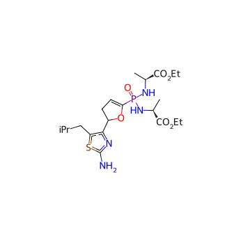 CCOC(=O)[C@H](C)NP(=O)(N[C@@H](C)C(=O)OCC)C1=CCC(c2nc(N)sc2CC(C)C)O1